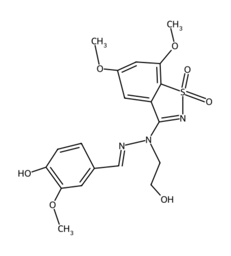 COc1cc(OC)c2c(c1)C(N(CCO)/N=C/c1ccc(O)c(OC)c1)=NS2(=O)=O